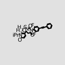 CC(C)n1cc([C@]2(C)CC(=O)N(c3c(F)cc(C#Cc4ccccc4)cc3F)C(=O)N2C)ccc1=O